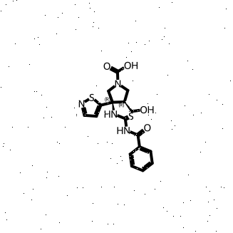 O=C(NC(=S)N[C@@]1(c2ccns2)CN(C(=O)O)C[C@H]1CO)c1ccccc1